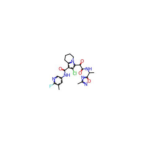 Cc1noc(C(C)NC(=O)C(=O)c2c(Cl)c(C(=O)Nc3cnc(F)c(C)c3)c3n2CCCC3)n1